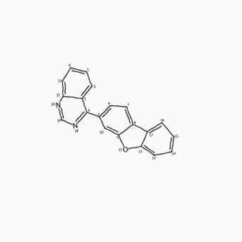 c1ccc2c(-c3ccc4c(c3)oc3ccccc34)ncnc2c1